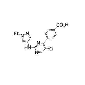 CCn1cc(Nc2ncc(Cl)c(-c3ccc(C(=O)O)cc3)n2)cn1